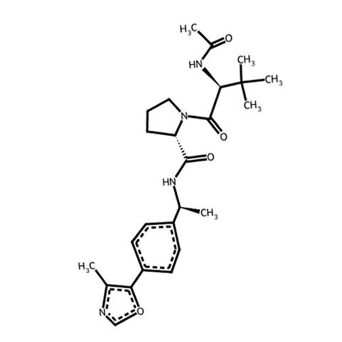 CC(=O)N[C@H](C(=O)N1CCC[C@H]1C(=O)N[C@@H](C)c1ccc(-c2ocnc2C)cc1)C(C)(C)C